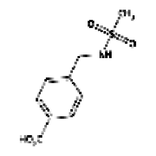 CS(=O)(=O)NCc1ccc(C(=O)O)cc1